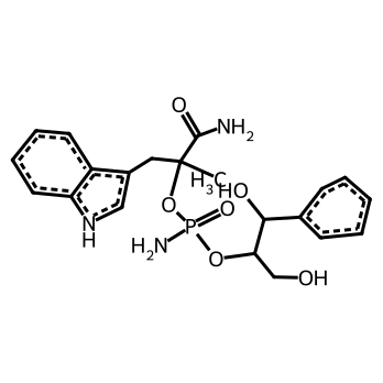 CC(Cc1c[nH]c2ccccc12)(OP(N)(=O)OC(CO)C(O)c1ccccc1)C(N)=O